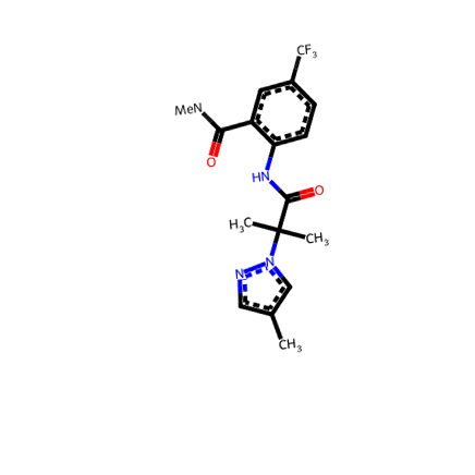 CNC(=O)c1cc(C(F)(F)F)ccc1NC(=O)C(C)(C)n1cc(C)cn1